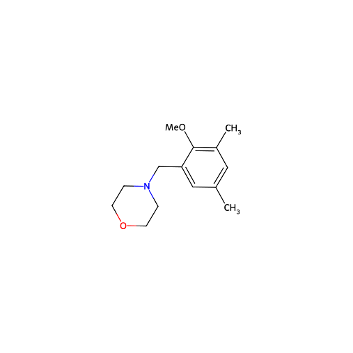 COc1c(C)cc(C)cc1CN1CCOCC1